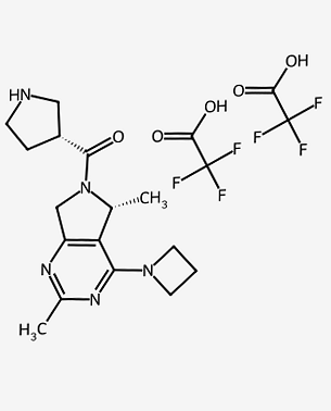 Cc1nc2c(c(N3CCC3)n1)[C@@H](C)N(C(=O)[C@@H]1CCNC1)C2.O=C(O)C(F)(F)F.O=C(O)C(F)(F)F